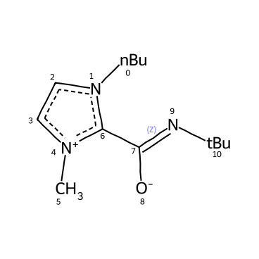 CCCCn1cc[n+](C)c1/C([O-])=N/C(C)(C)C